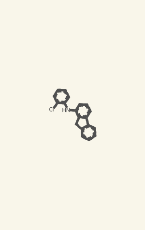 Clc1ccccc1Nc1cccc2c1Cc1ccccc1-2